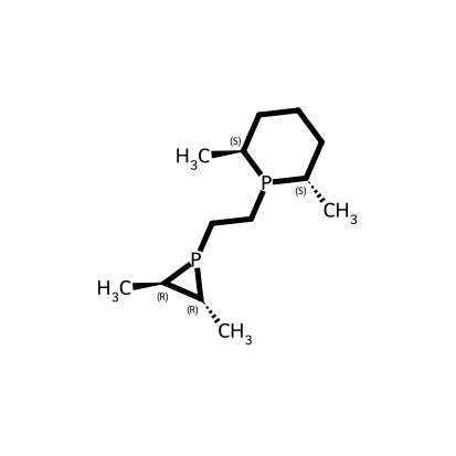 C[C@@H]1[C@@H](C)P1CCP1[C@@H](C)CCC[C@@H]1C